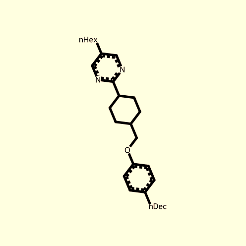 CCCCCCCCCCc1ccc(OCC2CCC(c3ncc(CCCCCC)cn3)CC2)cc1